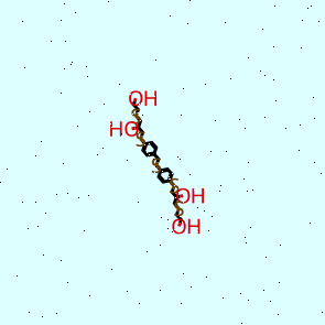 OCCSCC(O)CSc1ccc(CSc2ccc(SCC(O)CSCCO)cc2)cc1